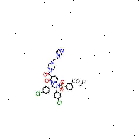 O=C(O)c1cccc(S(=O)(=O)N2c3ccc(C(=O)N4CCN(CCn5ccnc5)CC4)c(=O)n3[C@@H](c3ccc(Cl)cc3)[C@H]2c2ccc(Cl)cc2)c1